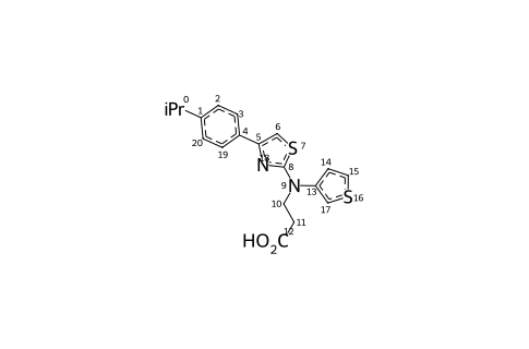 CC(C)c1ccc(-c2csc(N(CCC(=O)O)c3ccsc3)n2)cc1